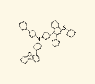 c1ccc(Sc2cc(-c3ccccc3)c(-c3ccc(N(c4ccc(-c5ccccc5)cc4)c4ccc(-c5cccc6c5oc5ccccc56)cc4)cc3)c3ccccc23)cc1